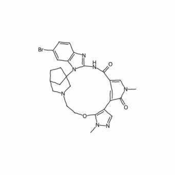 Cn1ncc2c1OCCN1CC3CCC(C3)(C1)n1c(nc3ccc(Br)cc31)NC(=O)c1cc-2c(=O)n(C)c1